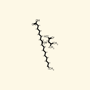 CC(C)[C@H](N)C(=O)O.CCCCCCCCCCCCCCCCCC(=O)O